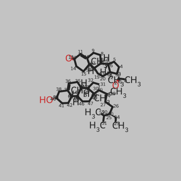 CC(=O)[C@H]1CC[C@H]2[C@@H]3CCC4=CC(=O)CC[C@]4(C)[C@H]3CC[C@]12C.CC[C@H](CC[C@@H](C)[C@H]1CC[C@H]2[C@@H]3CC=C4C[C@@H](O)CC[C@]4(C)[C@H]3CC[C@]12C)C(C)C